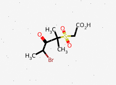 CC(Br)C(=O)C(C)(C)S(=O)(=O)CC(=O)O